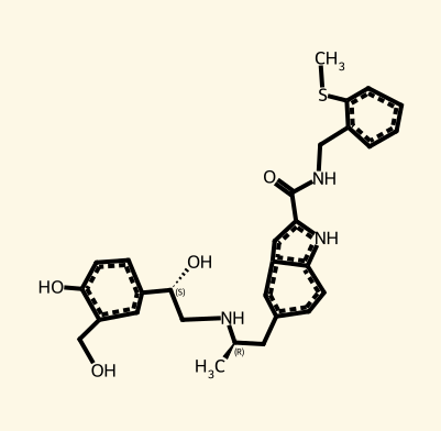 CSc1ccccc1CNC(=O)c1cc2cc(C[C@@H](C)NC[C@@H](O)c3ccc(O)c(CO)c3)ccc2[nH]1